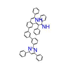 N=C(/C(=C1\NC(c2ccccc2)=Cc2ccc(-c3cccc(-c4cccc(-c5nc(-c6ccccc6)cc(-c6ccccc6)n5)c4)c3)cc21)c1ccccc1)c1ccccc1